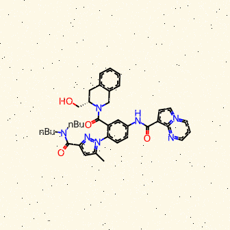 CCCCN(CCCC)C(=O)c1cc(C)n(-c2ccc(NC(=O)c3ccn4cccnc34)cc2C(=O)N2Cc3ccccc3C[C@H]2CO)n1